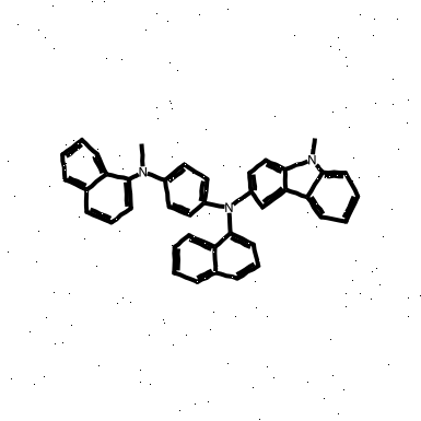 CN(c1ccc(N(c2ccc3c(c2)c2ccccc2n3C)c2cccc3ccccc23)cc1)c1cccc2ccccc12